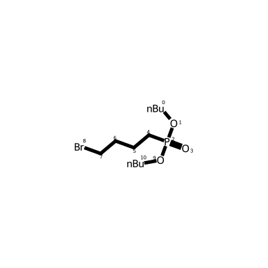 CCCCOP(=O)(CCCCBr)OCCCC